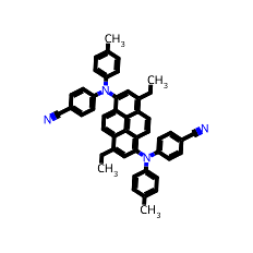 CCc1cc(N(c2ccc(C)cc2)c2ccc(C#N)cc2)c2ccc3c(CC)cc(N(c4ccc(C)cc4)c4ccc(C#N)cc4)c4ccc1c2c34